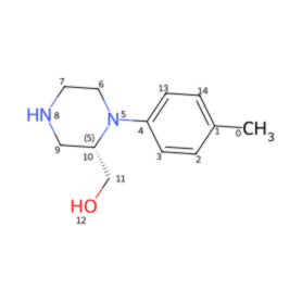 Cc1ccc(N2CCNC[C@H]2CO)cc1